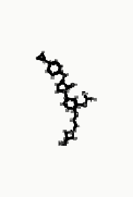 O=C1C(Oc2ccc(C3CC3)cc2)=CCN1c1ccc(OCCN2CC(O)C2)c(OC(F)F)c1